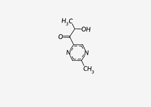 Cc1cnc(C(=O)C(C)O)cn1